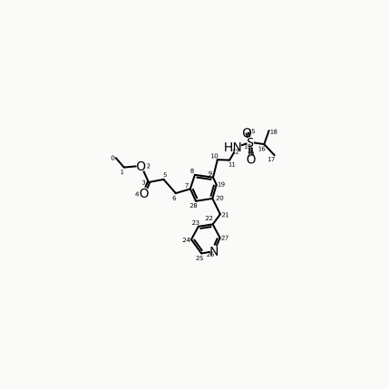 CCOC(=O)CCc1cc(CCNS(=O)(=O)C(C)C)cc(Cc2cccnc2)c1